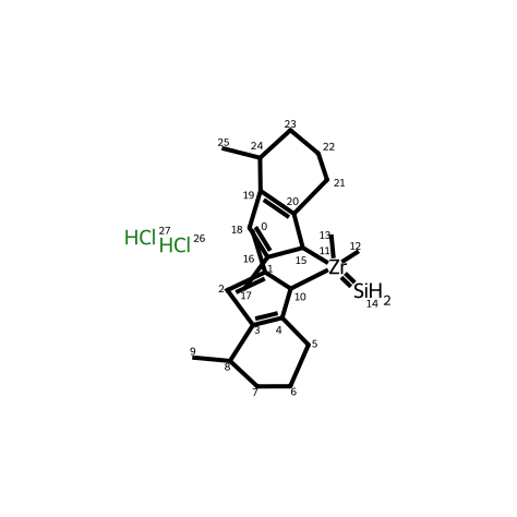 CC1=CC2=C(CCCC2C)[CH]1[Zr]([CH3])([CH3])(=[SiH2])[CH]1C(C)=CC2=C1CCCC2C.Cl.Cl